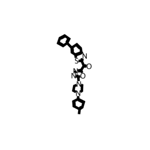 Cc1ccc(N2CCN(c3nnc(C(=O)c4nc5ccc(-c6ccccc6)cc5s4)o3)CC2)cc1